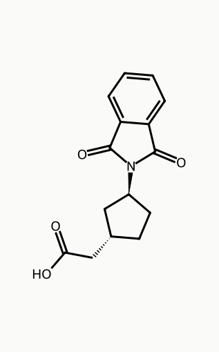 O=C(O)C[C@H]1CC[C@H](N2C(=O)c3ccccc3C2=O)C1